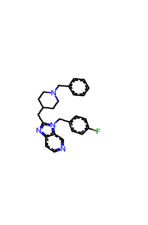 Fc1ccc(Cn2c(CC3CCN(Cc4ccccc4)CC3)nc3ccncc32)cc1